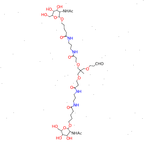 CC(=O)NC1C(OCCCCC(=O)NCCCNC(=O)CCOCC(C)(COCCC=O)COCCC(=O)NCCCNC(=O)CCCCOC2OC(CO)C(O)C(O)C2NC(C)=O)OC(CO)C(O)C1O